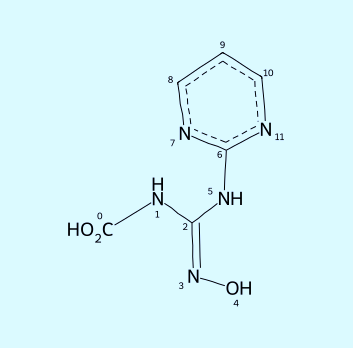 O=C(O)N/C(=N/O)Nc1ncccn1